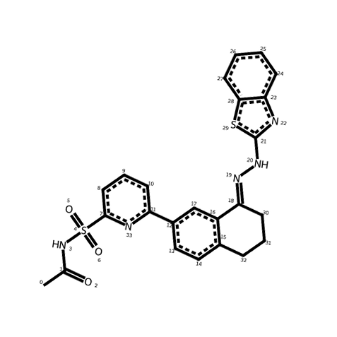 CC(=O)NS(=O)(=O)c1cccc(-c2ccc3c(c2)C(=NNc2nc4ccccc4s2)CCC3)n1